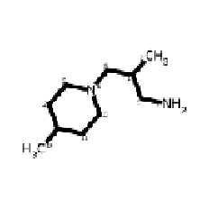 CC1CCN(CC(C)CN)CC1